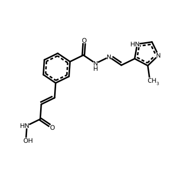 Cc1nc[nH]c1/C=N/NC(=O)c1cccc(/C=C/C(=O)NO)c1